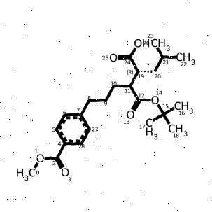 COC(=O)c1ccc(CCCC(C(=O)OC(C)(C)C)[C@@H](CC(C)C)C(=O)O)cc1